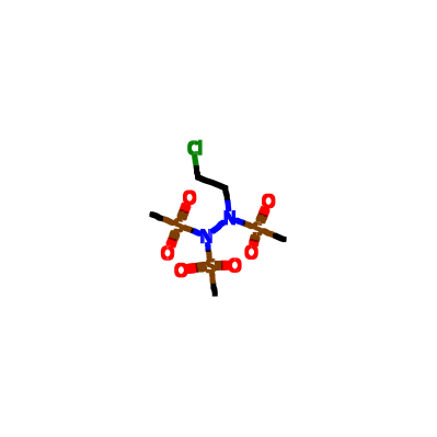 CS(=O)(=O)N(CCCl)N(S(C)(=O)=O)S(C)(=O)=O